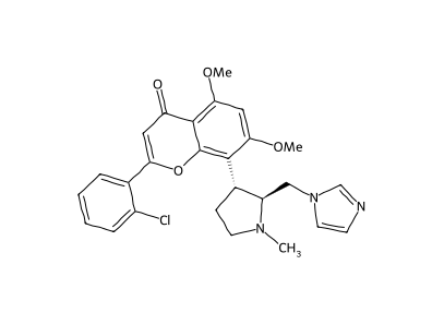 COc1cc(OC)c2c(=O)cc(-c3ccccc3Cl)oc2c1[C@H]1CCN(C)[C@@H]1Cn1ccnc1